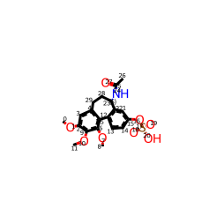 COc1cc2c(c(OC)c1OC)-c1ccc(OS(=O)(=O)O)cc1[C@@H](NC(C)=O)CC2